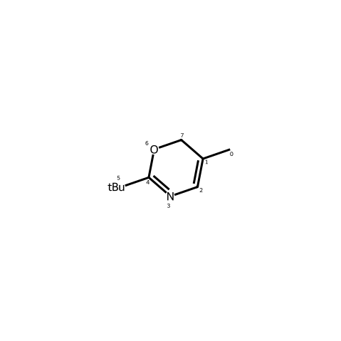 CC1=CN=C(C(C)(C)C)OC1